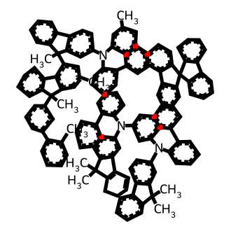 Cc1cc(-c2ccc3c(c2)-c2cc(-c4cc(N(c5ccc6c(c5)C5=C(CCC=C5)C6(C)C)c5ccccc5-c5ccccc5)cc(N(c5ccc6c(c5)C(C)(C)c5ccccc5-6)c5ccccc5-c5ccccc5)c4)ccc2C32c3ccccc3-c3ccccc32)cc(N(c2ccc3c(c2)C(C)(c2cc(C)cc4c2-c2ccccc2C4(C)c2cccc(-c4ccccc4C)c2)c2ccccc2-3)c2ccccc2-c2ccccc2)c1